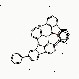 N#Cc1cccc2c3cccc(C#N)c3n(B3c4ccccc4-n4c5cc(-c6ccccc6)ccc5c5ccc(-c6ccccc6)c3c54)c12